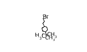 CC(C)(C)C1CCC(CCCBr)CC1